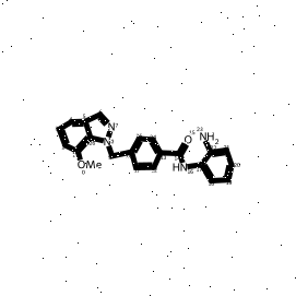 COc1cccc2cnn(Cc3ccc(C(=O)Nc4ccccc4N)cc3)c12